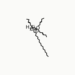 CCC=CCCOC(CCCCCCCCCCCCCCCC)C([SiH3])(OCCC=CCC)OCCC=CCC